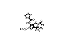 CCOC(=O)n1nc2c(c1NC(=O)C1CCCC1)CN(C(=O)Cl)C2(C)C